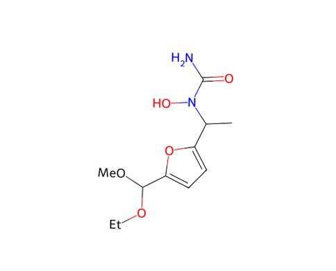 CCOC(OC)c1ccc(C(C)N(O)C(N)=O)o1